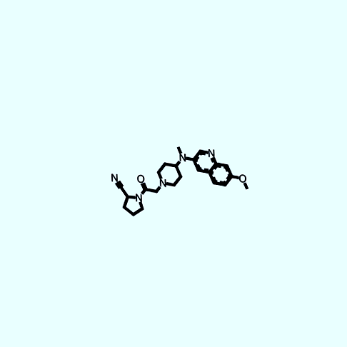 COc1ccc2cc(N(C)C3CCN(CC(=O)N4CCCC4C#N)CC3)cnc2c1